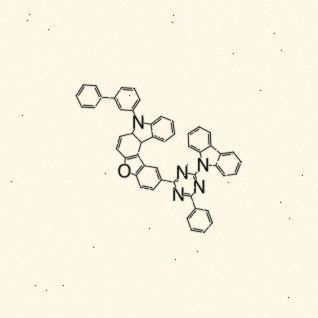 C1=CC2C(c3ccccc3N2c2cccc(-c3ccccc3)c2)c2c1oc1ccc(-c3nc(-c4ccccc4)nc(-n4c5ccccc5c5ccccc54)n3)cc21